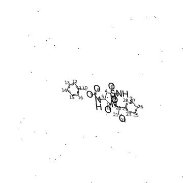 NS(=O)(=O)CC(NC(=O)OCc1ccccc1)C(=O)NC([C]=O)c1ccccc1